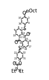 CCCCCCCCOc1ccc(Sc2cccc3c2C(=O)c2cccc(Sc4ccc(OC(=O)C(CC)CC)cc4)c2C3=O)cc1